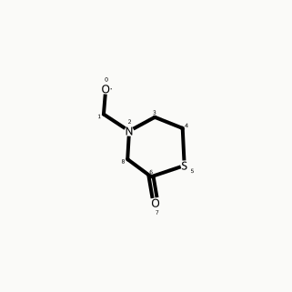 [O]CN1CCSC(=O)C1